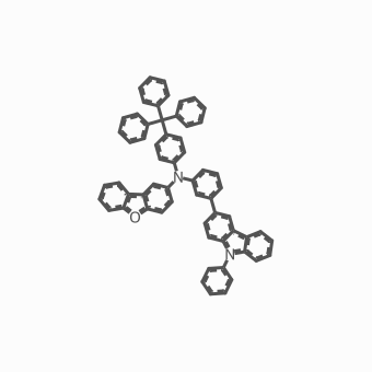 c1ccc(-n2c3ccccc3c3cc(-c4cccc(N(c5ccc(C(c6ccccc6)(c6ccccc6)c6ccccc6)cc5)c5ccc6oc7ccccc7c6c5)c4)ccc32)cc1